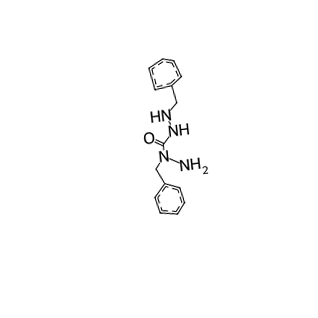 NN(Cc1ccccc1)C(=O)NNCc1ccccc1